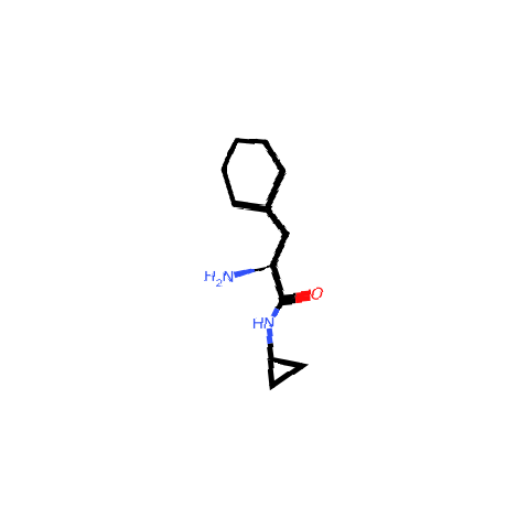 N[C@@H](CC1CCCCC1)C(=O)NC1CC1